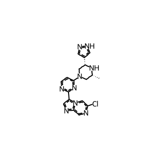 C[C@@H]1CN(c2ccnc(-c3cnc4cnc(Cl)cn34)n2)C[C@H](c2cn[nH]c2)N1